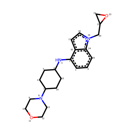 c1cc(NC2CCC(N3CCOCC3)CC2)c2ccn(CC3CO3)c2c1